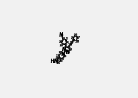 N#Cc1ccc(-c2nc(N3CCC4(CCNC4)CC3)ncc2C#CC2CCCC2)cc1